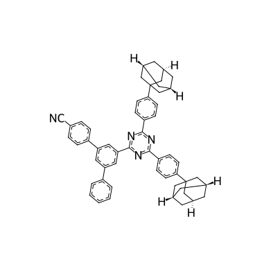 N#Cc1ccc(-c2cc(-c3ccccc3)cc(-c3nc(-c4ccc(C56C[C@H]7C[C@@H](C5)C[C@@H](C6)C7)cc4)nc(-c4ccc(C56C[C@H]7C[C@@H](C5)C[C@@H](C6)C7)cc4)n3)c2)cc1